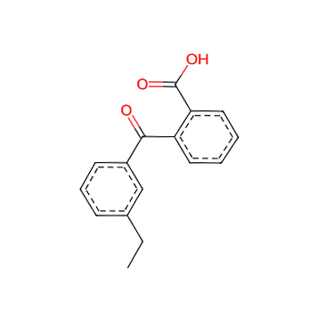 CCc1cccc(C(=O)c2ccccc2C(=O)O)c1